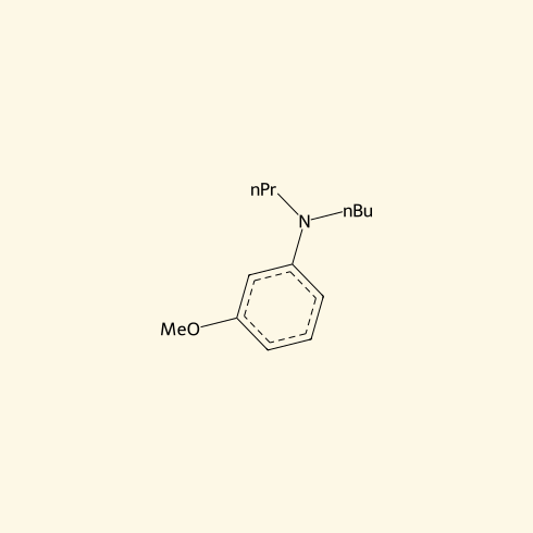 CCCCN(CCC)c1cccc(OC)c1